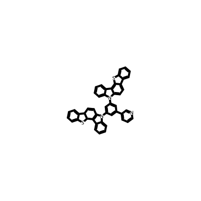 C1=CC2c3ccccc3SC2c2c1n(-c1cc(-c3cccnc3)cc(-n3c4ccccc4c4c5sc6ccccc6c5ccc43)c1)c1ccccc21